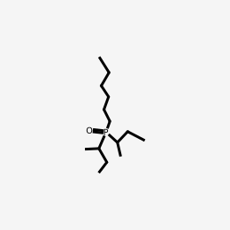 CCCCCCP(=O)(C(C)CC)C(C)CC